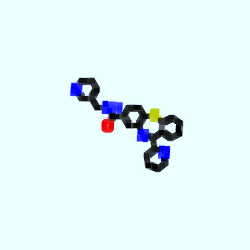 O=C(NCc1cccnc1)c1ccc2c(c1)N=C(c1ccccn1)c1ccccc1S2